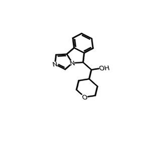 OC(C1CCOCC1)C1c2ccccc2-c2cncn21